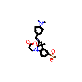 CN(C)c1ccc(/C=C/C23OC(=O)CCN2c2ccc(S(C)(=O)=O)cc2C3(C)C)cc1